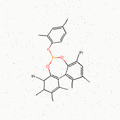 CC1=C(C)C(C)C(C(C)C)c2op(Oc3ccc(C)cc3C)oc3c(C(C)C)cc(C)c(C)c3c21